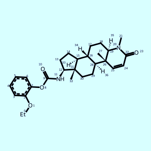 CCOc1ccccc1OC(=O)N[C@H]1CC[C@H]2[C@@H]3CC[C@H]4N(C)C(=O)C=C[C@]4(C)[C@H]3CC[C@]12C